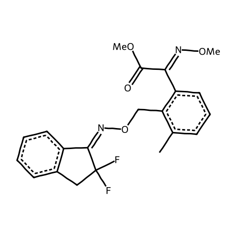 CO/N=C(/C(=O)OC)c1cccc(C)c1CO/N=C1/c2ccccc2CC1(F)F